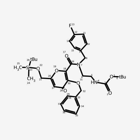 CC(C)(C)OC(=O)NCCN(Cc1ccc(F)cc1)C(=O)c1oc(CO[Si](C)(C)C(C)(C)C)cc(=O)c1OCc1ccccc1